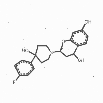 Oc1ccc2c(c1)OC(N1CCC(O)(c3ccc(F)cc3)CC1)CC2O